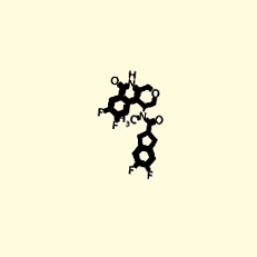 CN(C(=O)C1Cc2cc(F)c(F)cc2C1)[C@H]1COCc2[nH]c(=O)c3cc(F)c(F)cc3c21